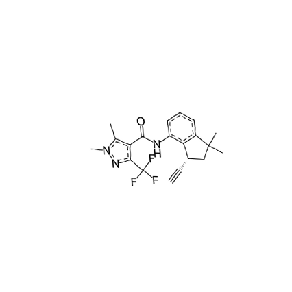 C#C[C@H]1CC(C)(C)c2cccc(NC(=O)c3c(C(F)(F)F)nn(C)c3C)c21